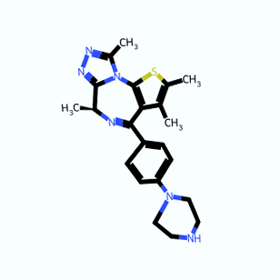 Cc1sc2c(c1C)C(c1ccc(N3CCNCC3)cc1)=N[C@@H](C)c1nnc(C)n1-2